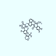 Cn1c(=O)n(-c2ccc(C[C@H](NC(=O)c3c(F)cc(N4CCOC[C@@H]4C(F)(F)F)cc3F)C(=O)O)c3cccnc23)c(=O)c2cc(F)c(F)cc21